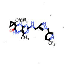 COC1(C2C(=O)Nc3c(C)nc(NCc4cnn(Cc5ccc(C(F)(F)F)nc5)c4)nc3N2C)CC1